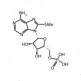 CSc1nc2c(N)ncnc2n1[C@@H]1O[C@H](COP(=O)(O)O)[C@@H](O)[C@H]1O